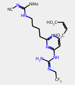 CN/C(=N/C#N)NCCCCc1nccc(N/C(N)=N\CC(F)(F)F)n1.O=C(O)/C=C\C(=O)O